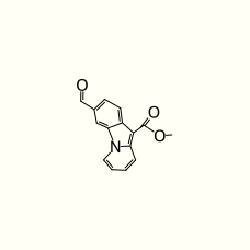 COC(=O)c1c2ccc(C=O)cc2n2ccccc12